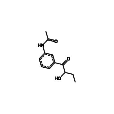 CCC(O)C(=O)c1cccc(NC(C)=O)c1